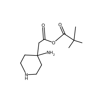 CC(C)(C)C(=O)OC(=O)CC1(N)CCNCC1